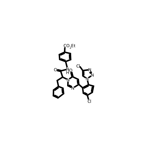 CCOC(=O)c1ccc(NC(=O)C(Cc2ccccc2)n2cnc(-c3cc(Cl)ccc3-n3cc(Cl)nn3)cc2=O)cc1